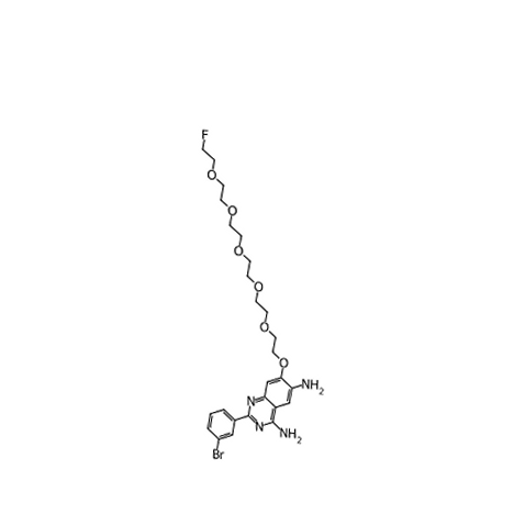 Nc1cc2c(N)nc(-c3cccc(Br)c3)nc2cc1OCCOCCOCCOCCOCCOCCF